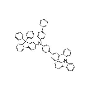 c1ccc(-c2ccc(N(c3ccc(-c4cccc(-c5ccccc5-n5c6ccccc6c6ccccc65)c4)cc3)c3ccc4c(c3)C(c3ccccc3)(c3ccccc3)c3ccccc3-4)cc2)cc1